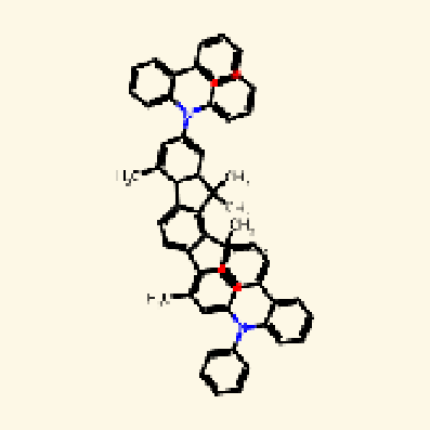 CC1=CC(N(c2ccccc2)c2ccccc2-c2ccccc2)=CC2C1c1ccc3c(c1C2(C)C)C(C)(C)c1cc(N(c2ccccc2)c2ccccc2-c2ccccc2)cc(C)c1-3